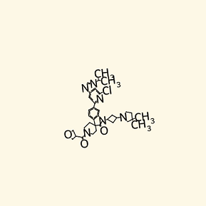 CC(C)n1cnc2cc(-c3ccc4c(c3)N(C3CC(N5CCC(C)(C)C5)C3)C(=O)C43CCN(C(=O)C4COC4)CC3)nc(Cl)c21